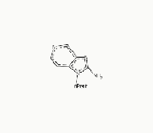 CCCCCn1c(N)nc2cnccc21